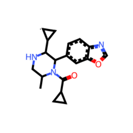 CC1CNC(C2[CH]C2)C(c2ccc3ncoc3c2)N1C(=O)C1CC1